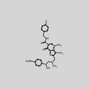 CC(=O)Nc1ccc(C(O)CN(C)Cc2sc3c(=O)c(C(=O)NCc4ccc(F)cc4)cn(C)c3c2C)cc1